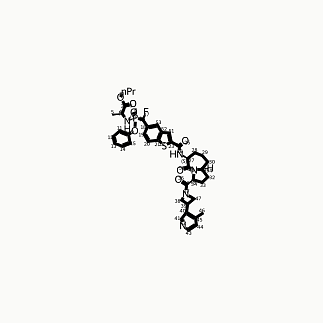 CCCOC(=O)[C@H](C)N[P@@](=O)(Oc1ccccc1)[C@@H](F)c1ccc2sc(C(=O)N[C@H]3CCC[C@H]4CC[C@@H](C(=O)N5CC(c6cnccc6C)C5)N4C3=O)cc2c1